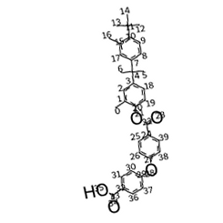 Cc1cc(C(C)(C)c2ccc(C(C)(C)C)c(C)c2)ccc1OC(=O)c1ccc(Oc2ccc(C(=O)O)cc2)cc1